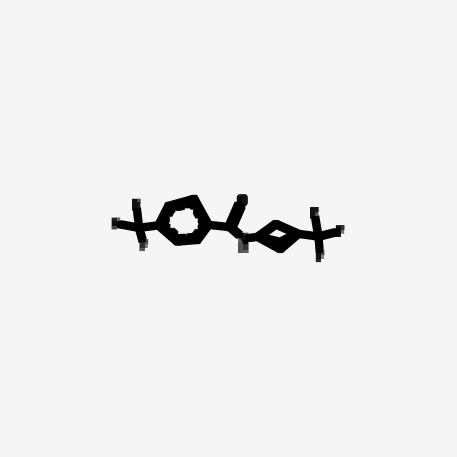 O=C(NC12CC(C(F)(F)F)(C1)C2)c1ccc(C(F)(F)F)cc1